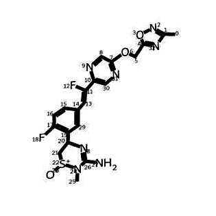 Cc1noc(COc2cnc(/C(F)=C/c3ccc(F)c(C4C[S+]([O-])N(C)C(N)=N4)c3)cn2)n1